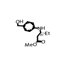 CC[C@H](CC(=O)OC)Nc1ccc(CO)cc1